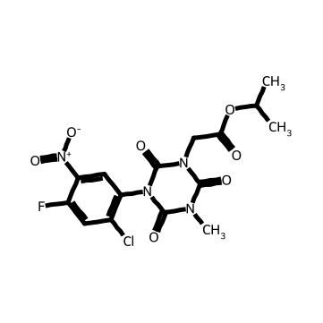 CC(C)OC(=O)Cn1c(=O)n(C)c(=O)n(-c2cc([N+](=O)[O-])c(F)cc2Cl)c1=O